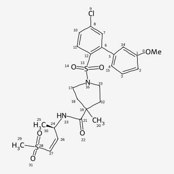 COc1cccc(-c2cc(Cl)ccc2S(=O)(=O)N2CCC(C)(C(=O)N[C@H](C)/C=C\S(C)(=O)=O)CC2)c1